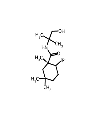 CC(C)C1CCC(C)(C)C[C@]1(C)C(=O)NC(C)(C)CO